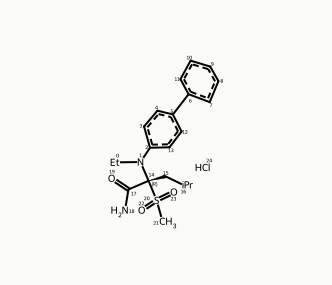 CCN(c1ccc(-c2ccccc2)cc1)[C@@](CC(C)C)(C(N)=O)S(C)(=O)=O.Cl